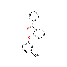 CC(=O)Oc1cccc(Oc2ccccc2C(=O)c2ccccc2)c1